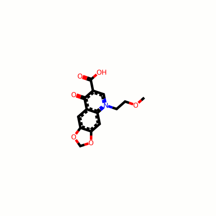 COCCn1cc(C(=O)O)c(=O)c2cc3c(cc21)OCO3